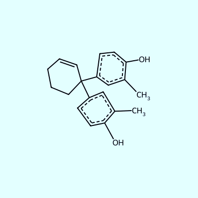 Cc1cc(C2(c3ccc(O)c(C)c3)C=CCCC2)ccc1O